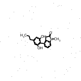 CCCc1cc(O)c(-c2cccc3c2CC(=O)N3C)c(O)c1